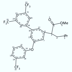 COC(=O)C(CC(C)C)c1cc(Oc2cccc(C(F)(F)F)c2)cc(-c2cc(C(F)(F)F)cc(C(F)(F)F)c2)c1